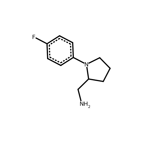 NCC1CCCN1c1ccc(F)cc1